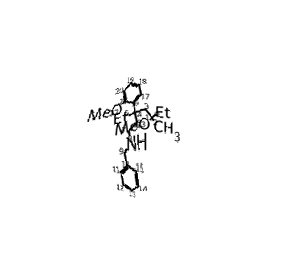 CCC(C)(CC(CC)(CCNCc1ccccc1)c1ccccc1OC)OC